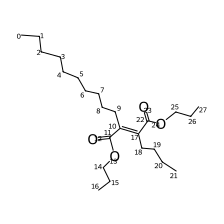 CCCCCCCCCCC(C(=O)OCCC)=C(CCCC)C(=O)OCCC